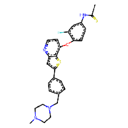 CC(=S)Nc1ccc(Oc2ccnc3cc(-c4ccc(CN5CCN(C)CC5)cc4)sc23)c(F)c1